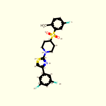 Cc1ccc(F)cc1S(=O)(=O)C1CCN(c2nc(-c3cc(F)cc(F)c3)cs2)CC1